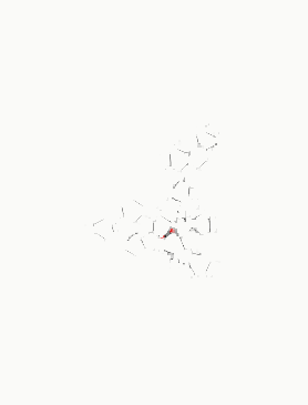 c1ccc(-c2ccccc2-c2ccccc2-c2ccc(N(c3ccc(-c4cccc5c4ccc4ccccc45)cc3)c3ccccc3-c3cccc4oc5ccccc5c34)cc2)cc1